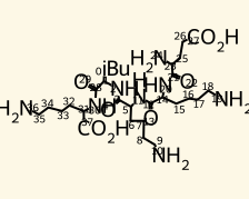 CCC(C)C(NC(=O)C(CCCCN)NC(=O)C(CCCCN)NC(=O)C(N)CCC(=O)O)C(=O)NC(CCCCN)C(=O)O